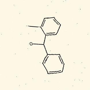 [CH2]c1ccccc1C([O])c1ccccc1